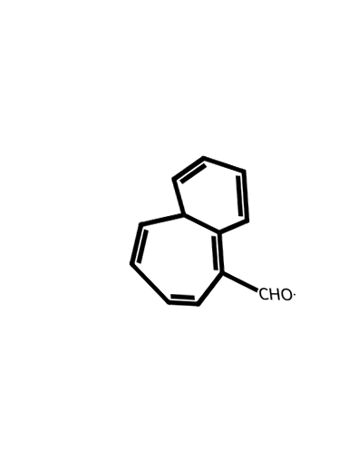 O=[C]C1=C2C=CC=CC2C=CC=C1